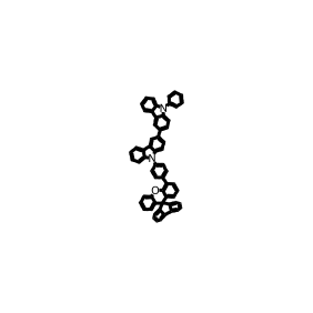 c1ccc(-n2c3ccccc3c3cc(-c4ccc5c(c4)c4ccccc4n5-c4ccc(-c5cccc6c5Oc5ccccc5C65c6ccccc6-c6ccccc65)cc4)ccc32)cc1